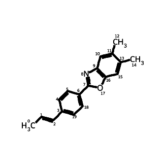 C/C=C/c1ccc(-c2nc3cc(C)c(C)cc3o2)cc1